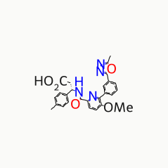 COc1ccc(C(=O)N[C@@H](CC(=O)O)c2ccc(C)cc2)nc1-c1cccc(-c2nnc(C)o2)c1